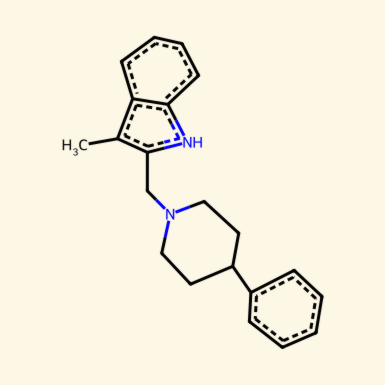 Cc1c(CN2CCC(c3ccccc3)CC2)[nH]c2ccccc12